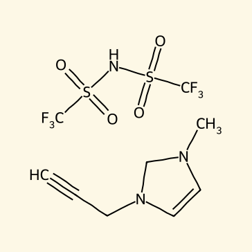 C#CCN1C=CN(C)C1.O=S(=O)(NS(=O)(=O)C(F)(F)F)C(F)(F)F